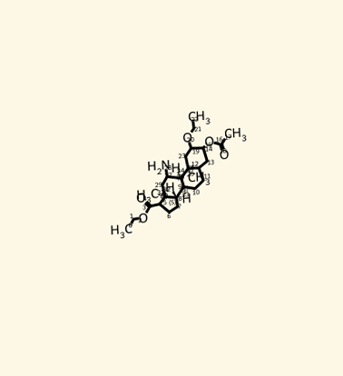 CCOC(=O)C1CC[C@H]2[C@@H]3CCC4CC(OC(C)=O)C(OCC)C[C@]4(C)[C@@H]3C(N)C[C@]12C